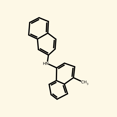 Cc1ccc(Nc2ccc3ccccc3c2)c2ccccc12